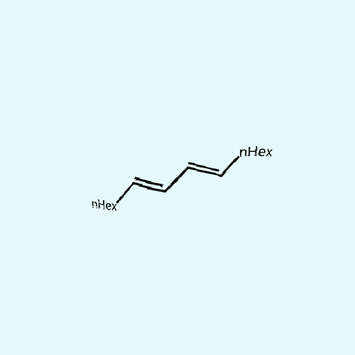 CCCCCC/C=C/C=C/CCCCCC